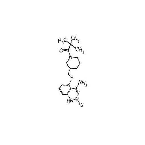 CC(C)(C)C(=O)N1CCCC(COc2cccc3c2C(N)=N[S+]([O-])N3)C1